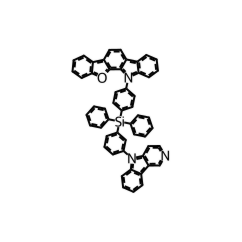 c1ccc([Si](c2ccccc2)(c2ccc(-n3c4ccccc4c4ccc5c6ccccc6oc5c43)cc2)c2cccc(-n3c4ccccc4c4cnccc43)c2)cc1